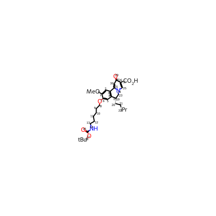 COc1cc2c(cc1OCCCCCCNC(=O)OC(C)(C)C)[C@@H](CCC(C)C)Cn1cc(C(=O)O)c(=O)cc1-2